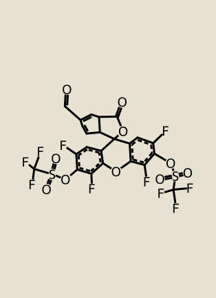 O=CC1=CC2C(=O)OC3(c4cc(F)c(OS(=O)(=O)C(F)(F)F)c(F)c4Oc4c3cc(F)c(OS(=O)(=O)C(F)(F)F)c4F)C2C=C1